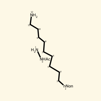 CC(=O)NN.CCCCCCCCCCCCCCCCCCN